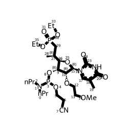 CCCN(CCC)P(OCCC#N)O[C@H]1[C@@H](OCCOC)[C@H](n2cc(C)c(=O)[nH]c2=O)O[C@@H]1[C@@H](C)CP(=O)(OCC)OCC